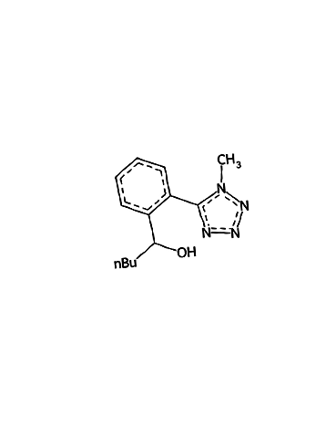 CCCCC(O)c1ccccc1-c1nnnn1C